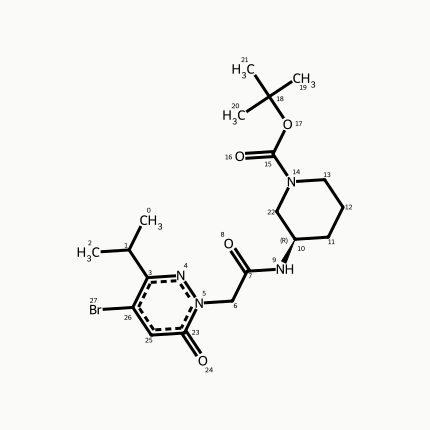 CC(C)c1nn(CC(=O)N[C@@H]2CCCN(C(=O)OC(C)(C)C)C2)c(=O)cc1Br